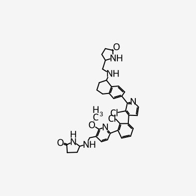 COc1nc(-c2cccc(-c3ccnc(-c4ccc5c(c4)CCCC5NCC4CCC(=O)N4)c3Cl)c2Cl)ccc1CNC1CCC(=O)N1